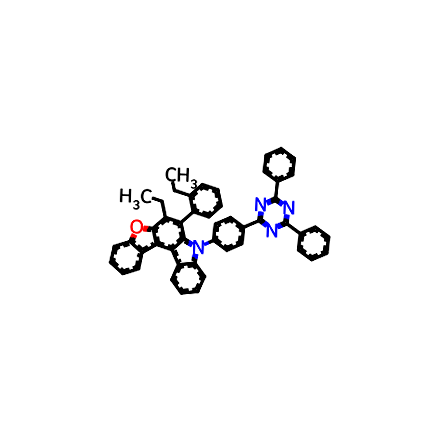 CCc1ccccc1-c1c(CC)c2oc3ccccc3c2c2c3ccccc3n(-c3ccc(-c4nc(-c5ccccc5)nc(-c5ccccc5)n4)cc3)c12